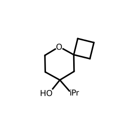 CC(C)C1(O)CCOC2(CCC2)C1